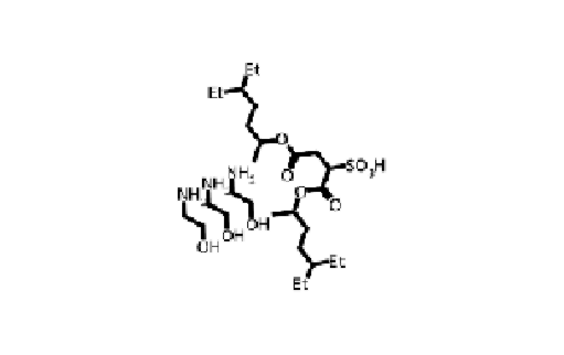 CCC(CC)CCC(C)OC(=O)CC(C(=O)OC(C)CCC(CC)CC)S(=O)(=O)O.NCCO.NCCO.NCCO